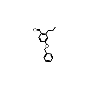 CCCc1cc(OCc2ccccc2)ccc1C=O